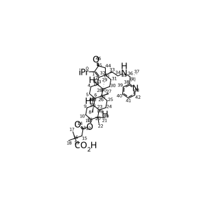 CC(C)C1=C2[C@H]3CC[C@@H]4[C@@]5(C)CC[C@H](OC(=O)CC(C)(C)C(=O)O)C(C)(C)[C@@H]5CC[C@@]4(C)[C@]3(C)CC[C@@]2(CCN[C@H](C)c2ccccn2)CC1=O